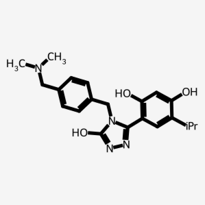 CC(C)c1cc(-c2nnc(O)n2Cc2ccc(CN(C)C)cc2)c(O)cc1O